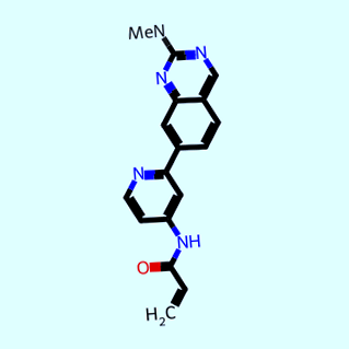 C=CC(=O)Nc1ccnc(-c2ccc3cnc(NC)nc3c2)c1